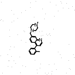 Cc1ccccc1-c1ccnc2cc(CN3CCN(C)CC3)ccc12